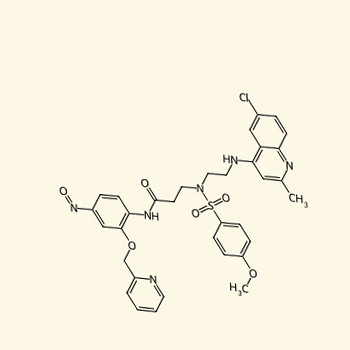 COc1ccc(S(=O)(=O)N(CCNc2cc(C)nc3ccc(Cl)cc23)CCC(=O)Nc2ccc(N=O)cc2OCc2ccccn2)cc1